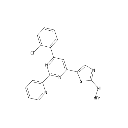 CCCNc1ncc(-c2cc(-c3ccccc3Cl)nc(-c3ccccn3)n2)s1